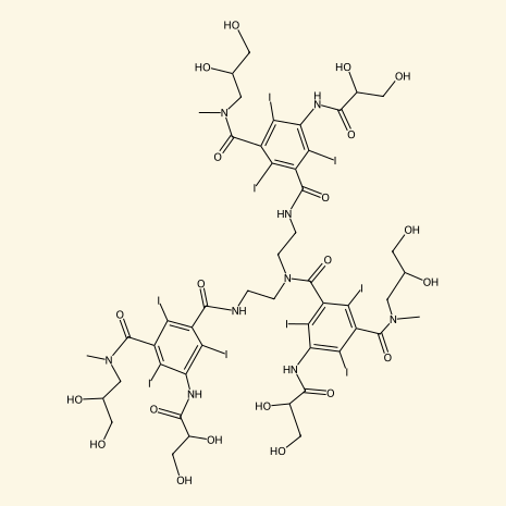 CN(CC(O)CO)C(=O)c1c(I)c(NC(=O)C(O)CO)c(I)c(C(=O)NCCN(CCNC(=O)c2c(I)c(NC(=O)C(O)CO)c(I)c(C(=O)N(C)CC(O)CO)c2I)C(=O)c2c(I)c(NC(=O)C(O)CO)c(I)c(C(=O)N(C)CC(O)CO)c2I)c1I